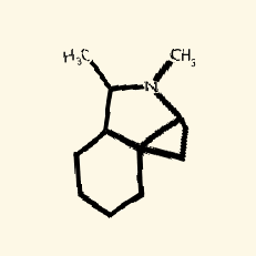 CC1C2CCCCC23CC3N1C